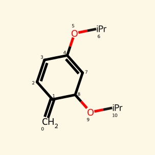 C=C1C=CC(OC(C)C)=CC1OC(C)C